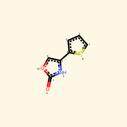 O=c1[nH]c(-c2cccs2)co1